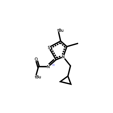 Cc1c(C(C)(C)C)s/c(=N\C(=O)C(C)(C)C)n1CC1CC1